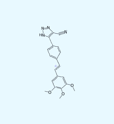 COc1cc(/C=C/c2ccc(-c3[nH]nnc3C#N)cc2)cc(OC)c1OC